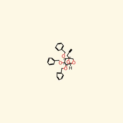 C#CC[C@@]12CO[C@@H](O1)[C@@H](OCc1ccccc1)[C@@H](OCc1ccccc1)[C@@H]2OCc1ccccc1